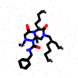 CCCCC(CC)CN1C[C@H]2N(C(=O)CN(C)N2C(=O)NCc2ccccc2)[C@@H](CCCC)C1=O